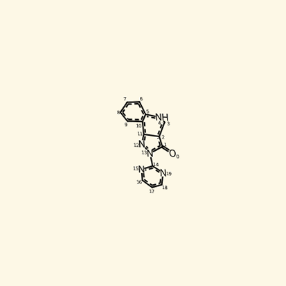 O=c1c2c[nH]c3ccccc3c-2nn1-c1ncccn1